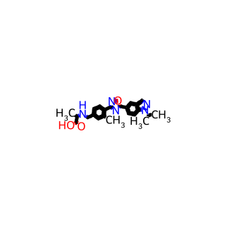 Cc1cc(CNC(C)C(=O)O)ccc1-c1noc(-c2ccc3c(cnn3C(C)C)c2)n1